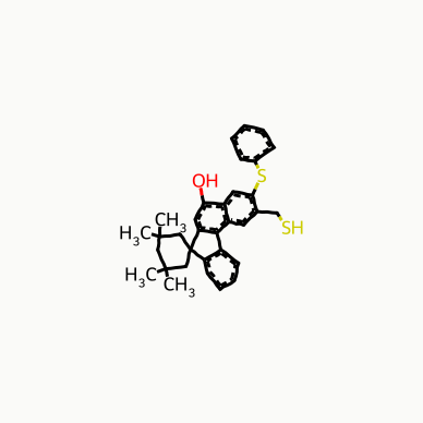 CC1(C)CC(C)(C)CC2(C1)c1ccccc1-c1c2cc(O)c2cc(Sc3ccccc3)c(CS)cc12